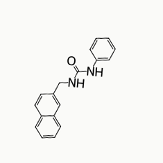 O=C(NCc1ccc2ccccc2c1)Nc1ccccc1